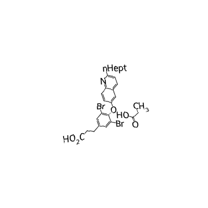 CCC(=O)O.CCCCCCCc1ccc2cc(Oc3c(Br)cc(CCC(=O)O)cc3Br)ccc2n1